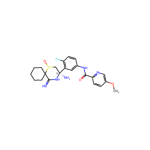 COc1ccc(C(=O)Nc2ccc(F)c([C@]3(N)C[S+]([O-])C4(CCCCC4)C(=N)N3)c2)nc1